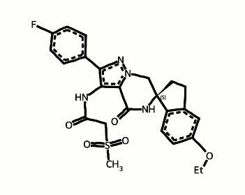 CCOc1ccc2c(c1)CC[C@@]21Cn2nc(-c3ccc(F)cc3)c(NC(=O)CS(C)(=O)=O)c2C(=O)N1